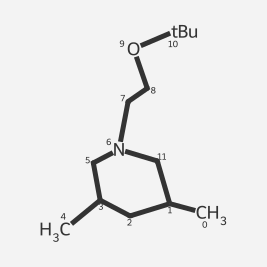 CC1CC(C)CN(CCOC(C)(C)C)C1